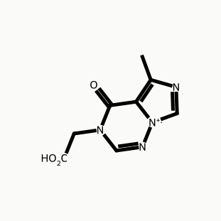 CC1=C2C(=O)N(CC(=O)O)C=N[N+]2C=N1